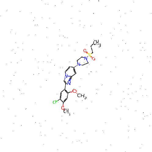 CCCS(=O)(=O)N1CCN(c2ccn3cc(-c4cc(Cl)c(OC)cc4OC)nc3c2)CC1